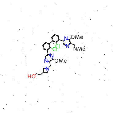 CNCc1ncc(-c2cccc(-c3cccc(-c4cnc(CN5CC(CCO)C5)c(OC)n4)c3Cl)c2Cl)nc1OC